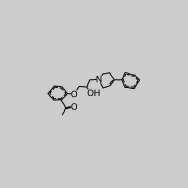 CC(=O)c1ccccc1OCC(O)CN1CC=C(c2ccccc2)CC1